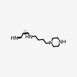 N=C/C=C\NCCCCN1CCNCC1